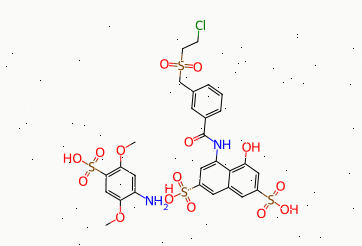 COc1cc(S(=O)(=O)O)c(OC)cc1N.O=C(Nc1cc(S(=O)(=O)O)cc2cc(S(=O)(=O)O)cc(O)c12)c1cccc(CS(=O)(=O)CCCl)c1